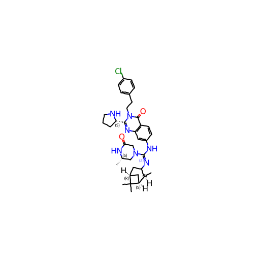 C[C@@H]1C(/N=C(/Nc2ccc3c(=O)n(CCc4ccc(Cl)cc4)c([C@@H]4CCCN4)nc3c2)N2CC(=O)N[C@@H](C)C2)C[C@H]2C[C@@H]1C2(C)C